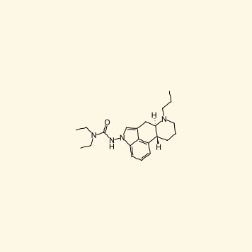 CCCN1CCC[C@@H]2c3cccc4c3c(cn4NC(=O)N(CC)CC)C[C@H]21